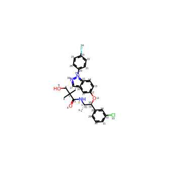 C[C@H](NC(=O)C(C)(C)CO)[C@@H](Oc1ccc2c(cnn2-c2ccc(F)cc2)c1)c1cccc(Cl)c1